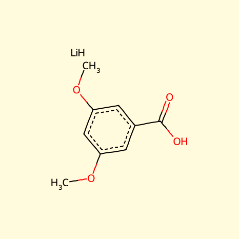 COc1cc(OC)cc(C(=O)O)c1.[LiH]